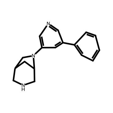 c1ccc(-c2cncc(N3CC4CNCC3C4)c2)cc1